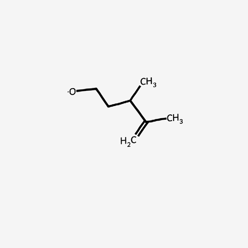 C=C(C)C(C)CC[O]